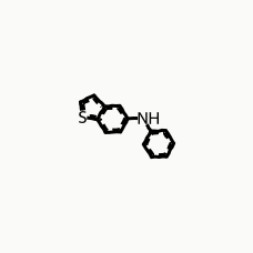 c1ccc(Nc2ccc3sccc3c2)cc1